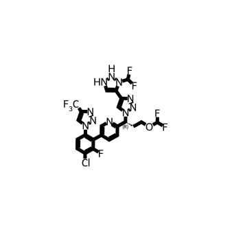 Fc1c(Cl)ccc(-n2cc(C(F)(F)F)nn2)c1-c1ccc([C@@H](CCOC(F)F)n2cc(C3=CNNN3C(F)F)nn2)nc1